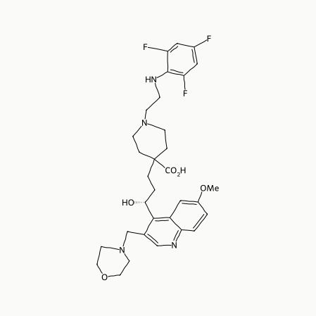 COc1ccc2ncc(CN3CCOCC3)c([C@H](O)CCC3(C(=O)O)CCN(CCNc4c(F)cc(F)cc4F)CC3)c2c1